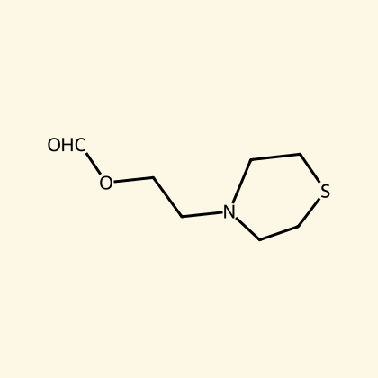 O=COCCN1CCSCC1